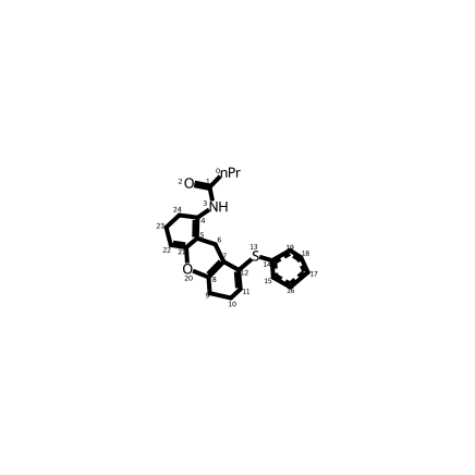 CCCC(=O)NC1=C2CC3=C(CCC=C3Sc3ccccc3)OC2=CCC1